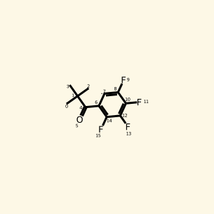 CC(C)(C)C(=O)c1[c]c(F)c(F)c(F)c1F